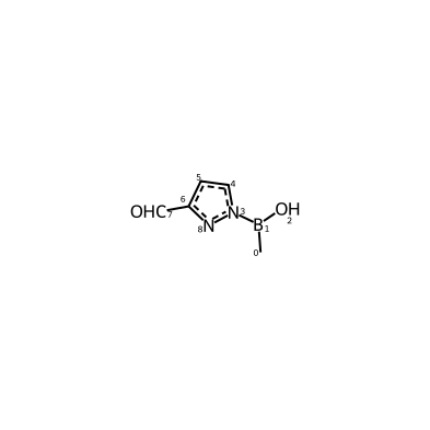 CB(O)n1ccc(C=O)n1